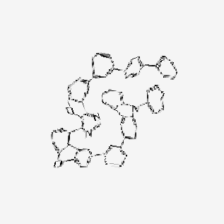 c1ccc(-c2ccc(-c3cccc(-c4ccc5oc6c(-c7cccc8oc9ccc(-c%10cccc(-c%11ccc%12c(c%11)c%11ccccc%11n%12-c%11ccccc%11)c%10)cc9c78)ncnc6c5c4)c3)cc2)cc1